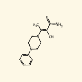 C/C(=C(/C#N)C(N)=S)N1CCN(c2ccccc2)CC1